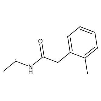 C[CH]NC(=O)Cc1ccccc1C